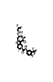 C[C@@H]1Cc2nn3c(c2CN1C(=O)Nc1ccc(F)c(C(F)(F)F)c1)C(=O)N(C)O[C@@H](CNCC(F)F)C3